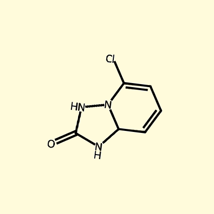 O=C1NC2C=CC=C(Cl)N2N1